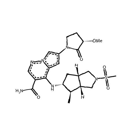 CO[C@H]1CCN(c2cc3c(N[C@@H]4C[C@@H]5CN(S(C)(=O)=O)C[C@@H]5[C@H]4C)c(C(N)=O)cnn3c2)C1=O